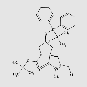 COC(=O)[C@@]1(CC(=O)CCl)C[C@H](O[Si](c2ccccc2)(c2ccccc2)C(C)(C)C)CN1C(=O)OC(C)(C)C